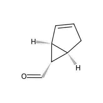 O=C[C@@H]1[C@H]2C=CC[C@@H]12